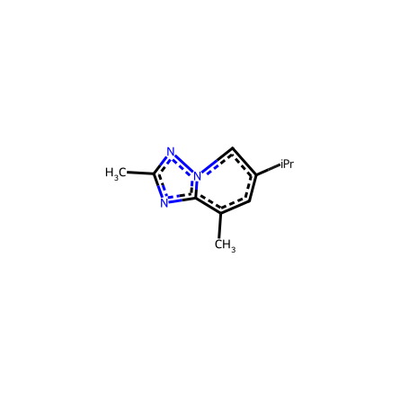 Cc1nc2c(C)cc(C(C)C)cn2n1